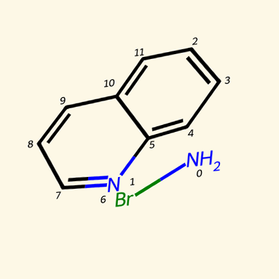 NBr.c1ccc2ncccc2c1